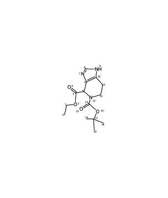 CCOC(=O)C1c2nc[nH]c2CCN1C(=O)OC(C)(C)C